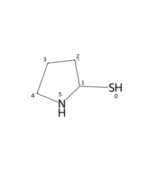 SC1[CH]CCN1